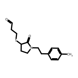 Cc1ccc(CCN2CCC(SCCC=O)C2=O)cc1